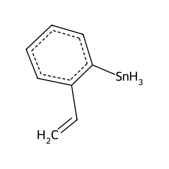 C=Cc1cccc[c]1[SnH3]